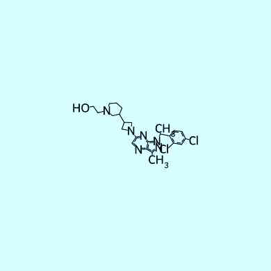 Cc1nn(C(C)c2ccc(Cl)cc2Cl)c2nc(N3CC(C4CCCN(CCO)C4)C3)cnc12